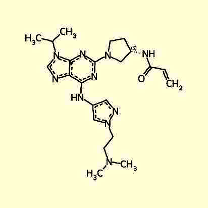 C=CC(=O)N[C@H]1CCN(c2nc(Nc3cnn(CCN(C)C)c3)c3ncn(C(C)C)c3n2)C1